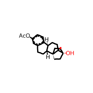 CC(=O)Oc1ccc2c(c1)CC[C@@H]1[C@@H]2CC[C@]2(C)[C@]3(O)CC[C@@]12CC3